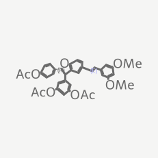 COc1cc(/C=C/c2ccc3c(c2)C(c2cc(OC(C)=O)cc(OC(C)=O)c2)[C@H](c2ccc(OC(C)=O)cc2)O3)cc(OC)c1